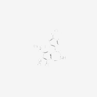 Br.COc1ccc(C2CNCCc3c2cc(OC)c(OC)c3Cl)cc1